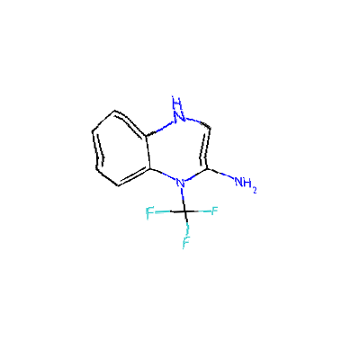 NC1=CNc2ccccc2N1C(F)(F)F